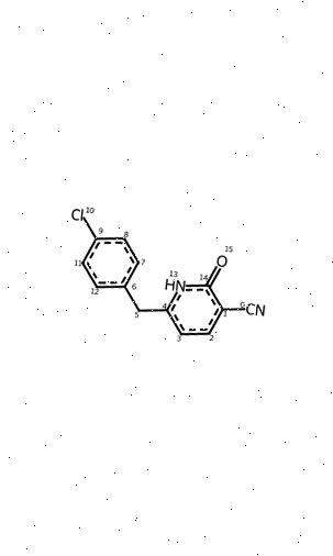 N#Cc1ccc(Cc2ccc(Cl)cc2)[nH]c1=O